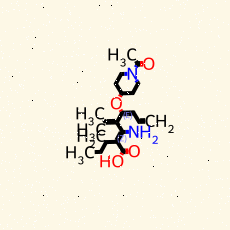 C=C/C=C(/OC1CCN(C(C)=O)CC1)C(=C(C)C)/C(N)=C(\C(=C)CC)C(=O)O